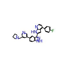 Fc1ccc(-c2ccnc3[nH]c(-c4n[nH]c5ccc(-c6cncc(CN7CCCC7)c6)cc45)cc23)cc1